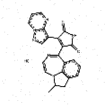 CC1Cc2cccc3c2N1C=CN=C3C1=C(c2cnn3cccnc23)C(=O)NC1=O.Cl